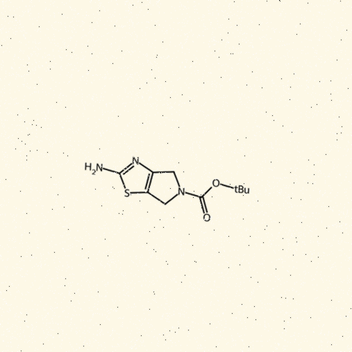 CC(C)(C)OC(=O)N1Cc2nc(N)sc2C1